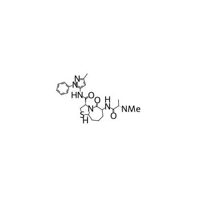 CN[C@@H](C)C(=O)NC1CCC[C@H]2SC[C@@H](C(=O)Nc3cc(C)nn3-c3ccccc3)N2C1=O